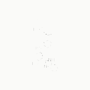 Cc1ccc(Nc2cccc3c2CCN(C[C@H](O)CO)C3=O)cc1-c1nc2ccccc2[nH]1